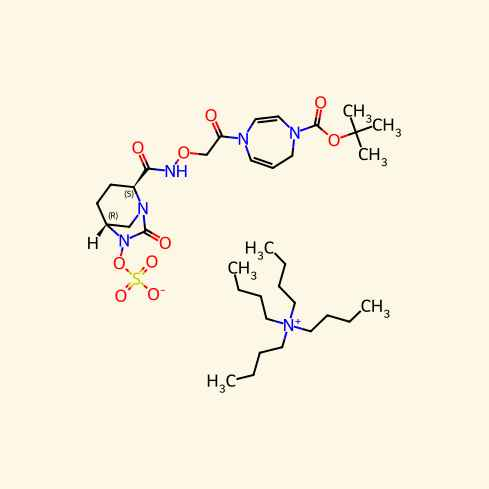 CC(C)(C)OC(=O)N1C=CN(C(=O)CONC(=O)[C@@H]2CC[C@@H]3CN2C(=O)N3OS(=O)(=O)[O-])C=CC1.CCCC[N+](CCCC)(CCCC)CCCC